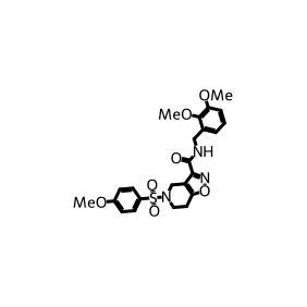 COc1ccc(S(=O)(=O)N2CCc3onc(C(=O)NCc4cccc(OC)c4OC)c3C2)cc1